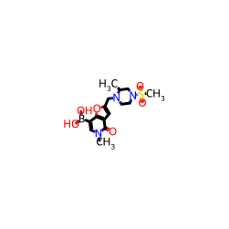 CC1CN(S(C)(=O)=O)CCN1Cc1cc2c(=O)n(C)cc(B(O)O)c2o1